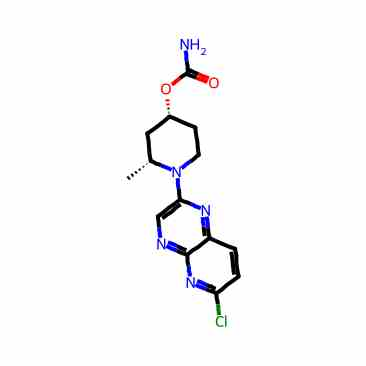 C[C@@H]1C[C@H](OC(N)=O)CCN1c1cnc2nc(Cl)ccc2n1